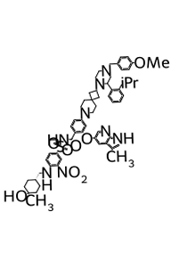 COc1ccc(CN2CCN(C3CC4(CCN(c5ccc(C(=O)NS(=O)(=O)c6ccc(NC[C@H]7CC[C@](C)(O)CC7)c([N+](=O)[O-])c6)c(Oc6cnc7[nH]cc(C)c7c6)c5)CC4)C3)C(c3ccccc3C(C)C)C2)cc1